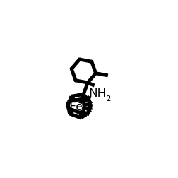 CC1CCCCC1(C)[C]12[CH]3[CH]4[CH]5[CH]1[Fe]45321678[CH]2[CH]1[CH]6[C]7(N)[CH]28